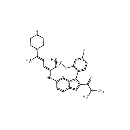 C=N/C(=C\C=C(/C)N1CCNCC1)Nc1ncc2cc(C(=O)N(C)C)c(-c3ccc(F)cc3OC)n2n1